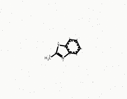 C[C]1=Nc2cccc[c]2[Y]1